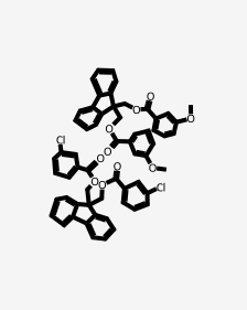 COc1cccc(C(=O)OCC2(COC(=O)c3cccc(OC)c3)c3ccccc3-c3ccccc32)c1.O=C(OCC1(COC(=O)c2cccc(Cl)c2)c2ccccc2-c2ccccc21)c1cccc(Cl)c1